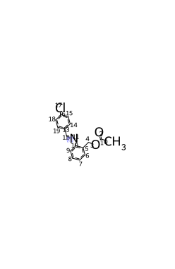 CC(=O)OCc1ccccc1/N=C/c1ccc(Cl)cc1